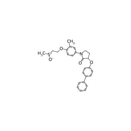 Cc1cc(N2CCC(Oc3ccc(-c4ccccc4)cc3)C2=O)ccc1OCC[S+](C)[O-]